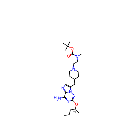 CCC[C@H](C)Oc1nc(N)c2ncc(CC3CCN(CCN(C)C(=O)OC(C)(C)C)CC3)n2n1